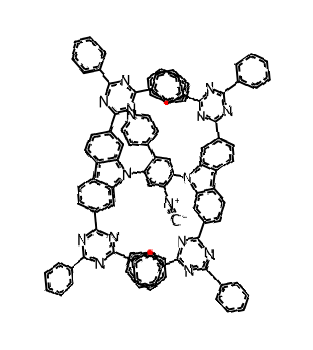 [C-]#[N+]c1cc(-n2c3cc(-c4nc(-c5ccccc5)nc(-c5ccccc5)n4)ccc3c3ccc(-c4nc(-c5ccccc5)nc(-c5ccccc5)n4)cc32)c(-c2ccncc2)cc1-n1c2cc(-c3nc(-c4ccccc4)nc(-c4ccccc4)n3)ccc2c2ccc(-c3nc(-c4ccccc4)nc(-c4ccccc4)n3)cc21